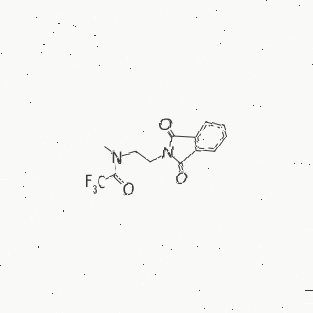 CN(CCN1C(=O)c2ccccc2C1=O)C(=O)C(F)(F)F